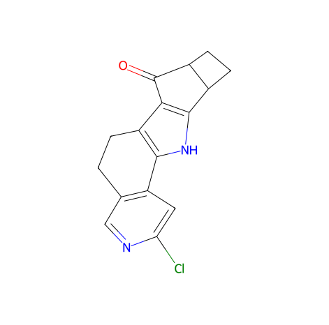 O=C1c2c([nH]c3c2CCc2cnc(Cl)cc2-3)C2CCC12